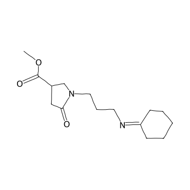 COC(=O)C1CC(=O)N(CCCN=C2CCCCC2)C1